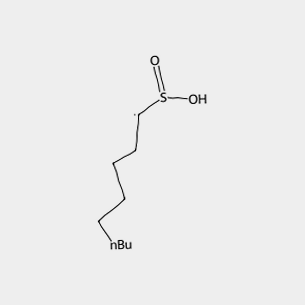 CCCCCCCC[CH]S(=O)O